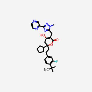 Cn1nc(-c2cnccn2)nc1CC1=C(O)CC(CCc2ccc(C(C)(C)C#N)c(F)c2)(C2CCCC2)OC1=O